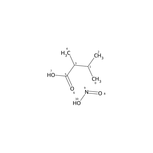 CC(C)C(C)C(=O)O.O=NO